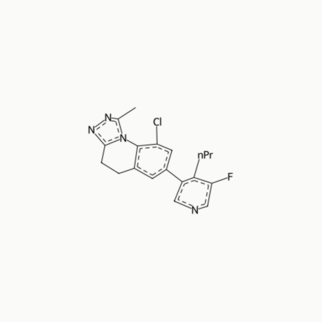 CCCc1c(F)cncc1-c1cc(Cl)c2c(c1)CCc1nnc(C)n1-2